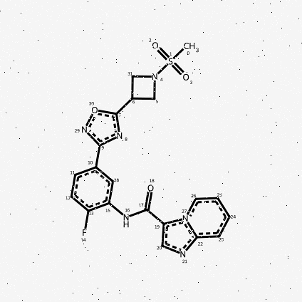 CS(=O)(=O)N1CC(c2nc(-c3ccc(F)c(NC(=O)c4cnc5ccccn45)c3)no2)C1